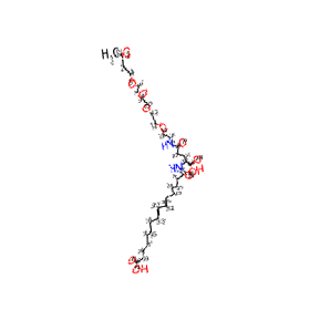 CC(=O)CCOCCOCCOCCOCCNC(=O)CCC(NC(=O)CCCCCCCCCCCCCCC(=O)O)C(=O)O